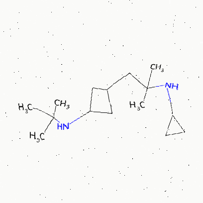 CC(C)(C)NC1CC(CC(C)(C)NC2CC2)C1